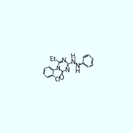 CCc1nc(NNc2ccccc2)nc(=O)n1-c1ccccc1Cl